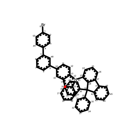 Brc1ccc(-c2cccc(-c3ccc4c(c3)c3ccccc3n4-c3cccc4c3C(c3ccccc3)(c3ccccc3)c3ccccc3-4)c2)cc1